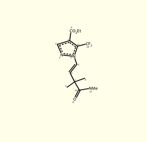 CCOC(=O)c1cnn(/C=C/C(C)(C)C(=O)NC)c1C(F)(F)F